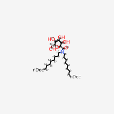 CCCCCCCCCCCCCCCCCCN(CCCCCCCCCCCCCCCCCC)C(=O)[C@@H]1O[C@H](CO)[C@@H](O)[C@H](O)[C@H]1O